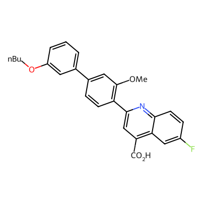 CCCCOc1cccc(-c2ccc(-c3cc(C(=O)O)c4cc(F)ccc4n3)c(OC)c2)c1